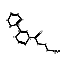 O=C(O)CCCC(=O)N1C=COC(C2=CC=CCC2)=C1